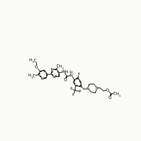 CCOc1cc(-c2ncc(NC(=O)Nc3cc(C(F)(F)F)c(CN4CCN(CCOC(C)=O)CC4)cc3F)c(C)n2)cnc1C